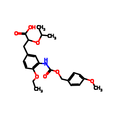 CCOc1ccc(CC(OC(C)C)C(=O)O)cc1NC(=O)OCc1ccc(OC)cc1